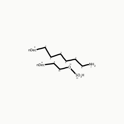 CCCCCCCCCCCCCCCCN.CCCCCCCCCCCCOS(=O)(=O)O